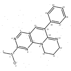 C[S+]([O-])c1ncc2c(n1)N1CCCN=C1C(c1ccccc1)=C2